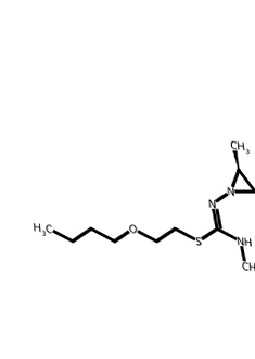 CCCCOCCS/C(=N/N1C[C@@H]1C)NC